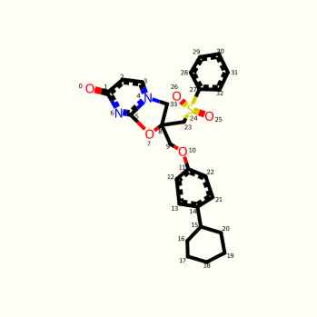 O=c1ccn2c(n1)OC(COc1ccc(C3CCCCC3)cc1)(CS(=O)(=O)c1ccccc1)C2